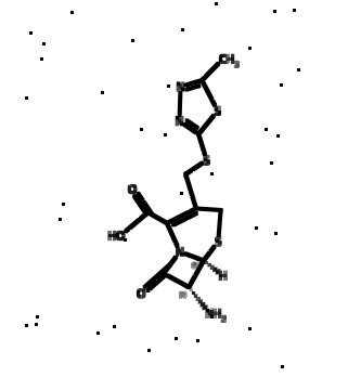 Cc1nnc(SCC2=C(C(=O)O)N3C(=O)[C@@H](N)[C@@H]3SC2)s1